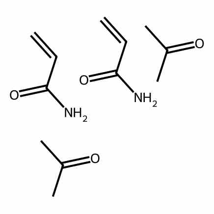 C=CC(N)=O.C=CC(N)=O.CC(C)=O.CC(C)=O